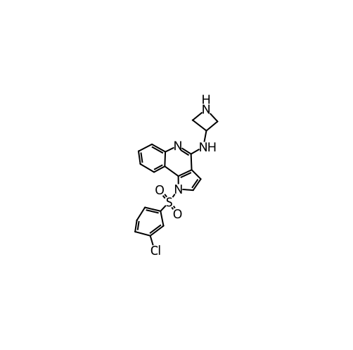 O=S(=O)(c1cccc(Cl)c1)n1ccc2c(NC3CNC3)nc3ccccc3c21